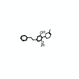 CC1=CCCC(c2c(O)cc(CCc3ccccc3)cc2OC(C)C)C1